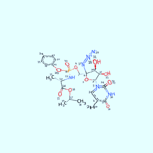 [2H]c1cn([C@@H]2O[C@@](CO[P@@](=O)(N[C@@H](C)C(=O)OC(C)C)Oc3ccccc3)(N=[N+]=[N-])[C@@H](O)[C@H]2O)c(=O)[nH]c1=O